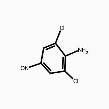 Nc1c(Cl)cc(N=O)cc1Cl